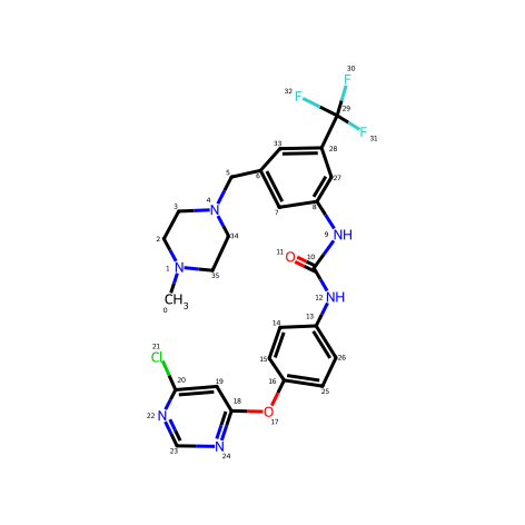 CN1CCN(Cc2cc(NC(=O)Nc3ccc(Oc4cc(Cl)ncn4)cc3)cc(C(F)(F)F)c2)CC1